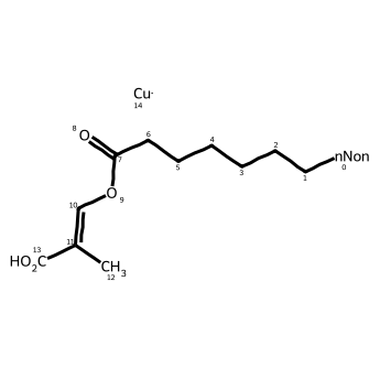 CCCCCCCCCCCCCCCC(=O)OC=C(C)C(=O)O.[Cu]